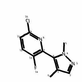 Cc1cnn(C)c1-c1nc(Cl)ccc1F